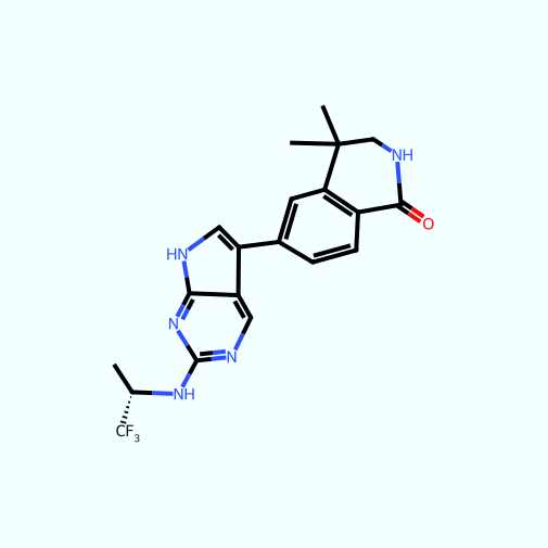 C[C@H](Nc1ncc2c(-c3ccc4c(c3)C(C)(C)CNC4=O)c[nH]c2n1)C(F)(F)F